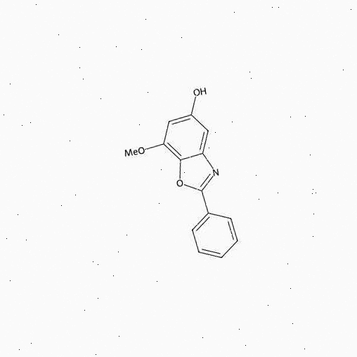 COc1cc(O)cc2nc(-c3ccccc3)oc12